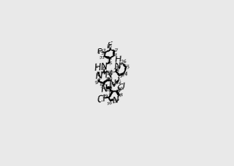 Fc1ccc(CNc2ncc3nc(-c4c(Cl)cncc4Cl)n(C[C@@H]4CCCNC4)c3n2)cc1F